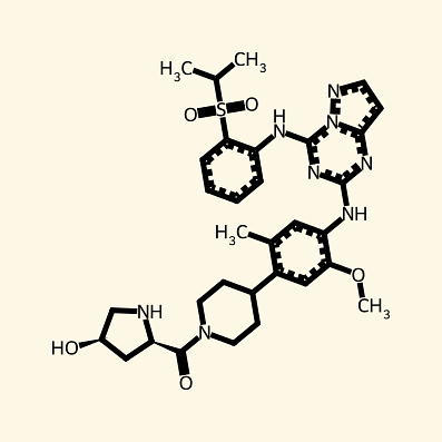 COc1cc(C2CCN(C(=O)[C@H]3C[C@@H](O)CN3)CC2)c(C)cc1Nc1nc(Nc2ccccc2S(=O)(=O)C(C)C)n2nccc2n1